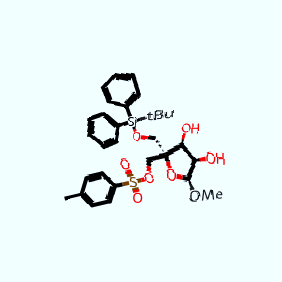 CO[C@H]1O[C@@](CO[Si](c2ccccc2)(c2ccccc2)C(C)(C)C)(COS(=O)(=O)c2ccc(C)cc2)[C@@H](O)[C@H]1O